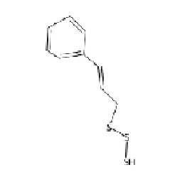 SSSCC=Cc1ccccc1